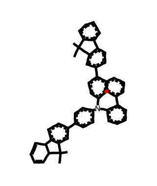 CC1(C)c2ccccc2-c2ccc(-c3ccc(N(c4ccc(-c5ccc6c(c5)C(C)(C)C5C=CC=CC65)cc4)c4ccccc4-c4ccccc4)cc3)cc21